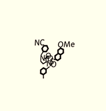 COc1ccc2ccc(S(=O)(=O)N(Cc3cccc(C)c3)[C@H]3CCN(Cc4cccc(C#N)c4)C3=O)cc2c1